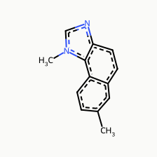 Cc1ccc2c(ccc3ncn(C)c32)c1